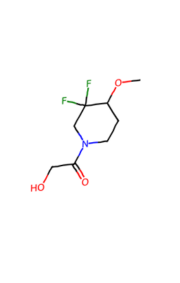 COC1CCN(C(=O)CO)CC1(F)F